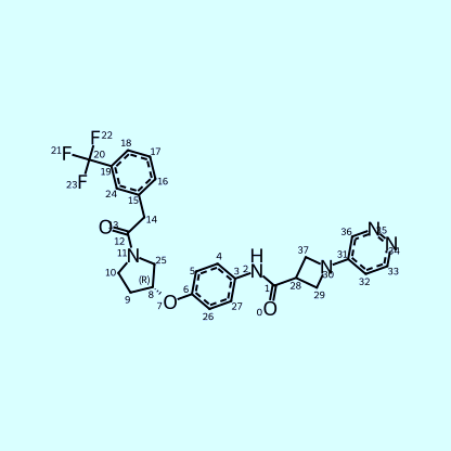 O=C(Nc1ccc(O[C@@H]2CCN(C(=O)Cc3cccc(C(F)(F)F)c3)C2)cc1)C1CN(c2ccnnc2)C1